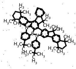 CC(C)(C)c1ccc(N2B3c4cc(C(C)(C)C)ccc4-n4c5cc6c(cc5c5c7c(c(c3c54)-c3cc4c(cc32)-c2cc3c(cc2C4(C)C)C(C)(C)CCC3(C)C)C(C)(C)c2ccccc2-7)C(C)(C)CCC6(C)C)cc1